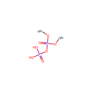 CCCOP(=O)(OCCC)OP(=O)(O)O